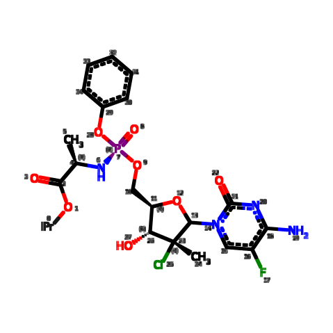 CC(C)OC(=O)[C@@H](C)N[P@@](=O)(OC[C@H]1OC(n2cc(F)c(N)nc2=O)[C@](C)(Cl)[C@@H]1O)Oc1ccccc1